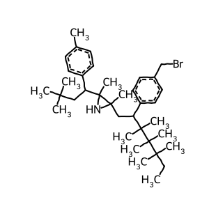 CCC(C)(C)C(C)(C)C(C)(C)C(CC1(C)NC1(C)C(CC(C)(C)C)c1ccc(C)cc1)c1ccc(CBr)cc1